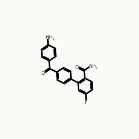 NC(=O)c1ccc(F)cc1-c1ccc(C(=O)c2ccc(N)cc2)cc1